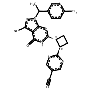 C#Cc1cnc([C@@H]2CC[C@H]2c2nc3c(c(C#N)nn3C(C)c3ccc(C(F)(F)F)nc3)c(=O)[nH]2)nc1